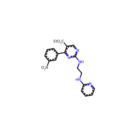 CCOC(=O)c1cnc(NCCNc2ccccn2)nc1-c1cccc([N+](=O)[O-])c1